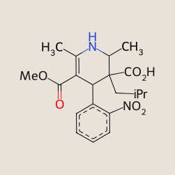 COC(=O)C1=C(C)NC(C)C(CC(C)C)(C(=O)O)C1c1ccccc1[N+](=O)[O-]